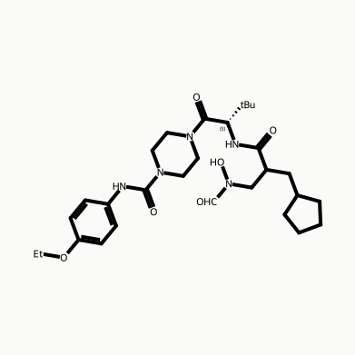 CCOc1ccc(NC(=O)N2CCN(C(=O)[C@@H](NC(=O)C(CC3CCCC3)CN(O)C=O)C(C)(C)C)CC2)cc1